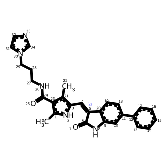 Cc1[nH]c(/C=C2\C(=O)Nc3cc(-c4ccccc4)ccc32)c(C)c1C(=O)NCCCn1ccnc1